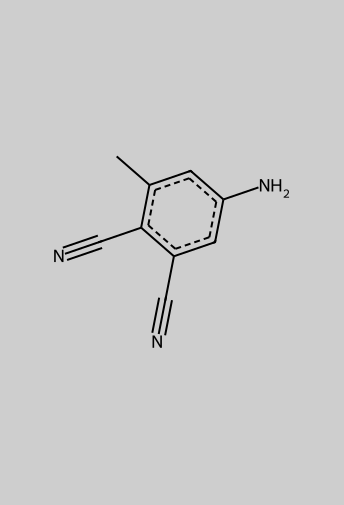 Cc1cc(N)cc(C#N)c1C#N